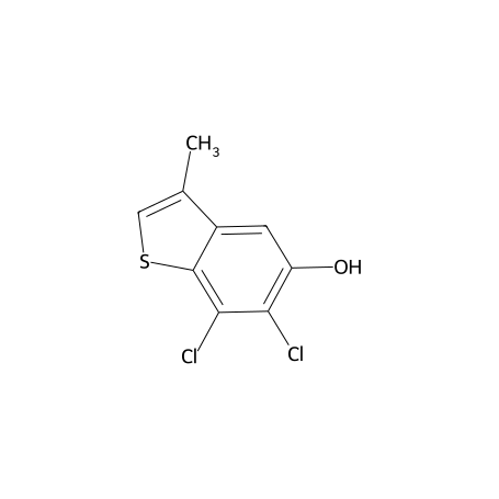 Cc1csc2c(Cl)c(Cl)c(O)cc12